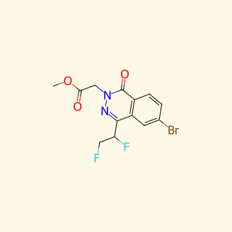 COC(=O)Cn1nc(C(F)CF)c2cc(Br)ccc2c1=O